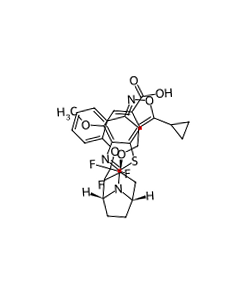 COc1cc(C(=O)O)cc2sc(N3[C@@H]4CC[C@H]3C[C@H](OCc3c(-c5ccccc5OC(F)(F)F)noc3C3CC3)C4)nc12